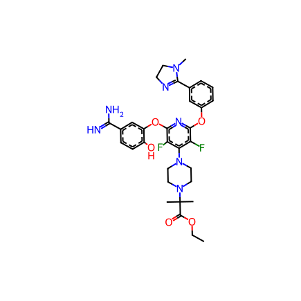 CCOC(=O)C(C)(C)N1CCN(c2c(F)c(Oc3cccc(C4=NCCN4C)c3)nc(Oc3cc(C(=N)N)ccc3O)c2F)CC1